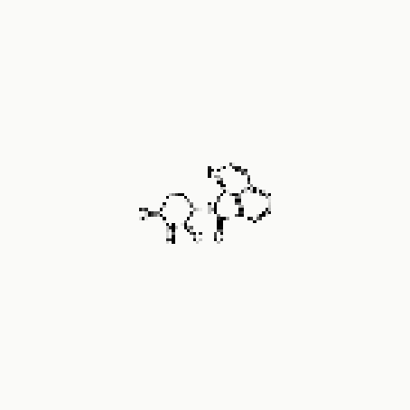 O=C1CCC(N2C(=O)c3cccc4ccnc2c34)C(=O)N1